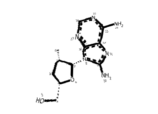 C[C@H]1C[C@@H](CO)O[C@H]1n1c(N)nc2c(N)ncnc21